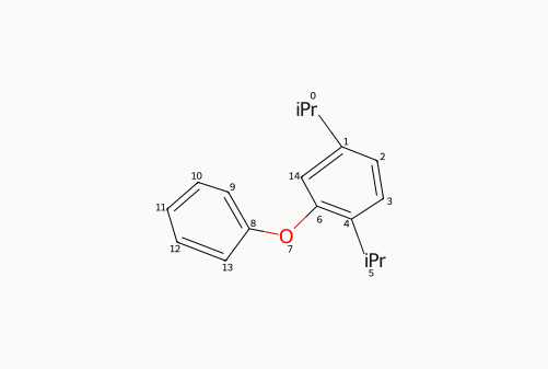 CC(C)c1ccc(C(C)C)c(Oc2ccccc2)c1